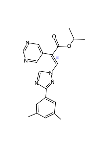 Cc1cc(C)cc(-c2ncn(/C=C(/C(=O)OC(C)C)c3cncnc3)n2)c1